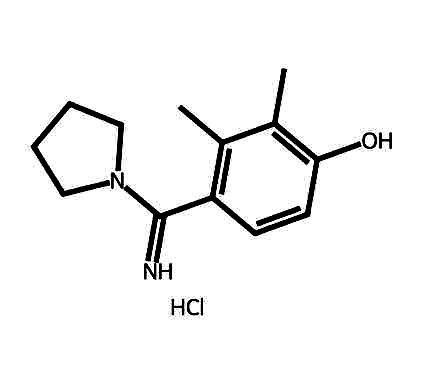 Cc1c(O)ccc(C(=N)N2CCCC2)c1C.Cl